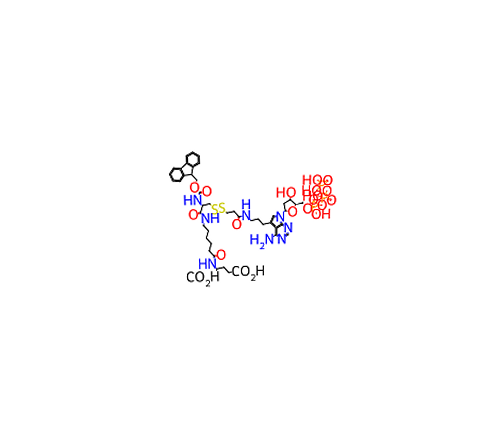 Nc1ncnc2c1c(CCCNC(=O)CCSSCC(NC(=O)OCC1c3ccccc3-c3ccccc31)C(=O)NCCCCCC(=O)NC(CCC(=O)O)C(=O)O)cn2[C@H]1C[C@@H](O)[C@@H](COP(=O)(O)OP(=O)(O)OP(=O)(O)O)O1